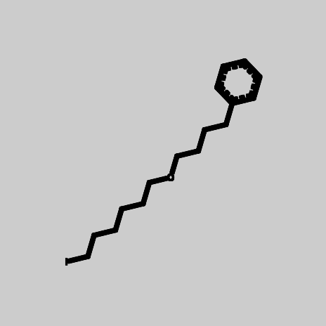 ICCCCCCOCCCCc1ccccc1